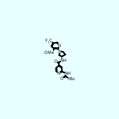 COc1cc(C(F)(F)F)cnc1N1CC[C@@H](NC(=O)c2ccnc(NC(=O)C(C)(C)C)c2)C1